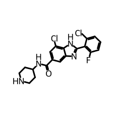 O=C(NC1CCNCC1)c1cc(Cl)c2[nH]c(-c3c(F)cccc3Cl)nc2c1